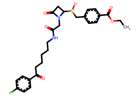 CCOC(=O)c1ccc(C[S+]([O-])C2CC(=O)N2CC(=O)NCCCCCC(=O)c2ccc(F)cc2)cc1